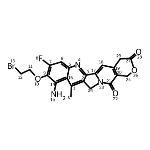 Cc1c2c(nc3cc(F)c(OCCBr)c(N)c13)-c1cc3c(c(=O)n1C2)COC(=O)C3